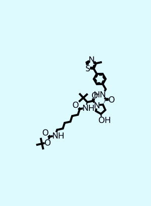 Cc1ncsc1-c1ccc(CNC(=O)[C@@H]2C[C@@H](O)CN2C(=O)[C@@H](NC(=O)CCCCCCNC(=O)OC(C)(C)C)C(C)(C)C)cc1